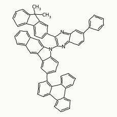 CC1(C)c2ccccc2-c2ccc(-c3nc4cc(-c5ccccc5)ccc4nc3-n3c4ccc(-c5cccc6c7ccccc7c7ccccc7c56)cc4c4cc5ccccc5cc43)cc21